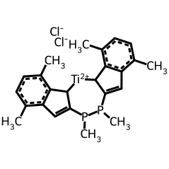 Cc1ccc(C)c2c1C=C1[CH]2[Ti+2][CH]2C(=Cc3c(C)ccc(C)c32)P(C)P1C.[Cl-].[Cl-]